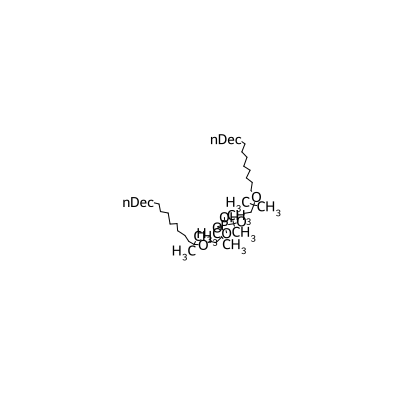 CCCCCCCCCCCCCCCCCCOC(C)(C)CCOC(C)(C)P(=O)(O)OC(C)(C)CCOC(C)(C)CCCCCCCCCCCCCCCCCC